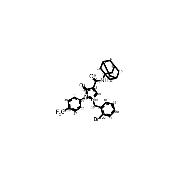 O=C(NC12CC3CC(CC(C3)C1)C2)c1cn(Cc2ccccc2Br)n(-c2ccc(C(F)(F)F)cc2)c1=O